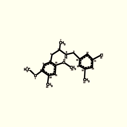 COc1cc(CC(C)NCc2cc(C)cc(Cl)c2)c(OC)cc1C